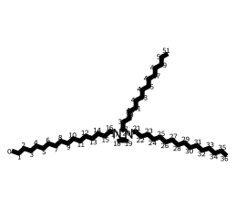 CCCCCCCCCCCCCCCCCN1C=CN(CCCCCCCCCCCCCCCC)C1CCCCCCCCCCCCCC